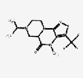 CC(C)N1CCN2c3nsc(C(F)(F)F)c3N(C)C(=O)C2C1